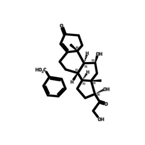 C[C@]12CCC(=O)C=C1CC[C@@H]1[C@@H]2[C@@H](O)C[C@@]2(C)[C@H]1CC[C@]2(O)C(=O)CO.O=C(O)c1ccccc1